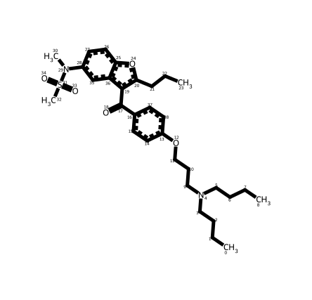 CCCCN(CCCC)CCCOc1ccc(C(=O)c2c(CCC)oc3ccc(N(C)S(C)(=O)=O)cc23)cc1